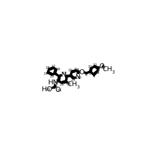 COc1ccc(COc2ccc(-c3nc(-c4ccccc4)c(NC(=O)O)cc3C)cn2)cc1